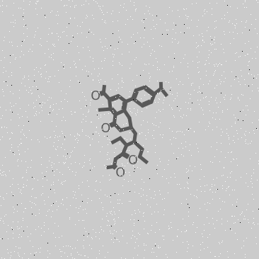 CCCC(CC1CC(=O)c2c(C)c(C(C)=O)cc(-c3ccc(C(C)C)cc3)c2C1)C(CC)C(=O)CC(C)=O